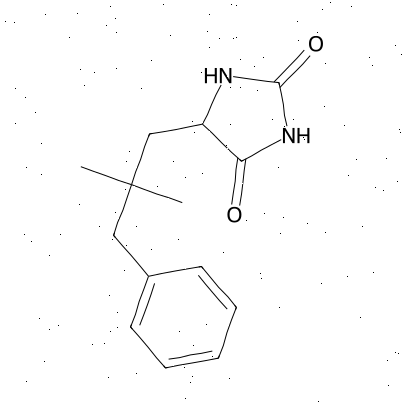 CC(C)(Cc1ccccc1)CC1NC(=O)NC1=O